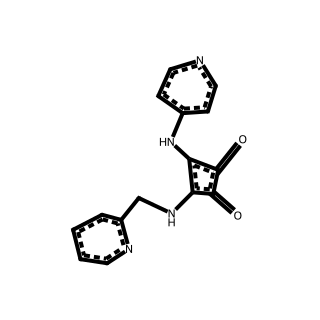 O=c1c(NCc2ccccn2)c(Nc2ccncc2)c1=O